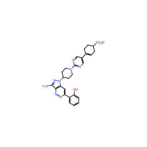 CCOC(=O)C1CC=C(c2cnc(N3CCC(n4nc(N)c5nnc(-c6ccccc6O)cc54)CC3)nc2)CC1